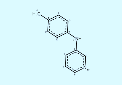 Cc1ccc(Nc2cccnc2)cc1